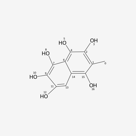 Cc1c(O)c(O)c2c(O)c(O)c(O)cc2c1O